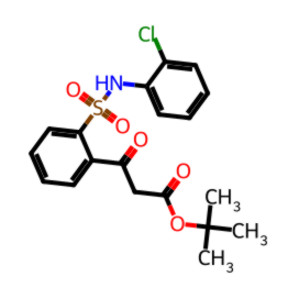 CC(C)(C)OC(=O)CC(=O)c1ccccc1S(=O)(=O)Nc1ccccc1Cl